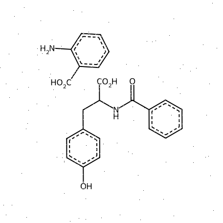 Nc1ccccc1C(=O)O.O=C(NC(Cc1ccc(O)cc1)C(=O)O)c1ccccc1